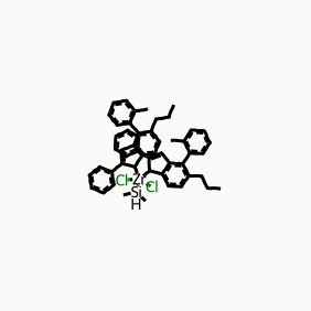 CCCc1ccc2c(c1-c1ccccc1C)C=C(c1ccccc1)[CH]2[Zr]([Cl])([Cl])([CH]1C(c2ccccc2)=Cc2c1ccc(CCC)c2-c1ccccc1C)[SiH](C)C